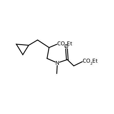 CCOC(=O)CC(=O)N(C)CC(CC1CC1)C(=O)OCC